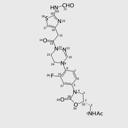 CC(=O)NC[C@H]1CN(c2ccc(N3C=NN(C(=O)Cc4csc(NC=O)n4)CC3)c(F)c2)C(=O)O1